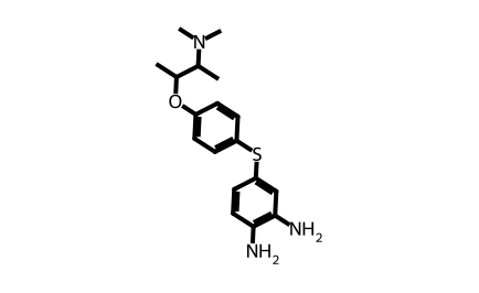 CC(Oc1ccc(Sc2ccc(N)c(N)c2)cc1)C(C)N(C)C